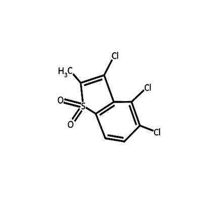 CC1=C(Cl)c2c(ccc(Cl)c2Cl)S1(=O)=O